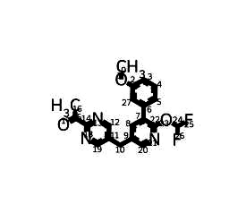 COc1cccc(-c2cc(Cc3cnc(C(C)=O)nc3)cnc2OC(F)F)c1